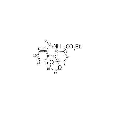 CCOC(=O)C1CCC2(CC1NC(C)c1ccccc1)OCCO2